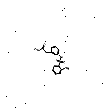 COC(=O)Cc1cccc(NS(=O)(=O)c2ccccc2O)c1